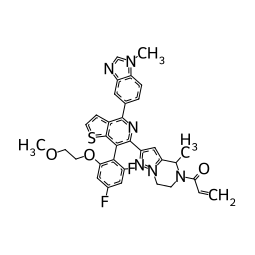 C=CC(=O)N1CCn2nc(-c3nc(-c4ccc5c(c4)ncn5C)c4ccsc4c3-c3c(F)cc(F)cc3OCCOC)cc2C1C